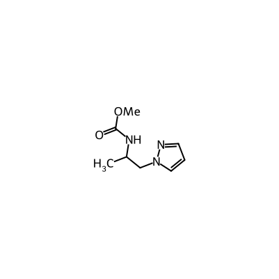 COC(=O)NC(C)Cn1cccn1